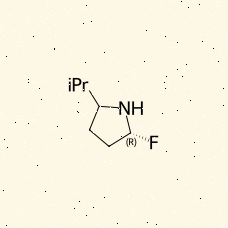 CC(C)C1CC[C@@H](F)N1